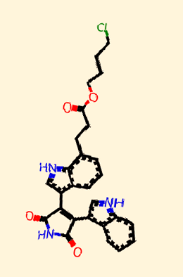 O=C(CCc1cccc2c(C3=C(c4c[nH]c5ccccc45)C(=O)NC3=O)c[nH]c12)OCCCCCl